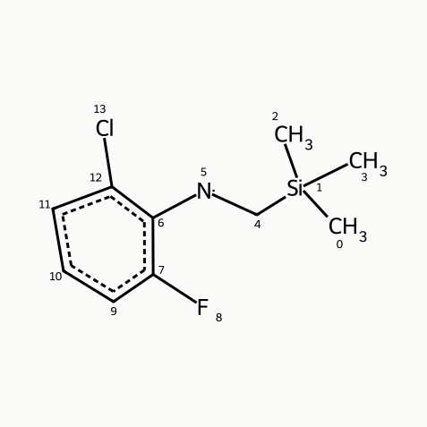 C[Si](C)(C)C[N]c1c(F)cccc1Cl